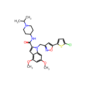 COc1cc(OC)c2cc(C(=O)NC3CCN(C(C)C)CC3)n(Cc3cc(-c4ccc(Cl)s4)on3)c2c1